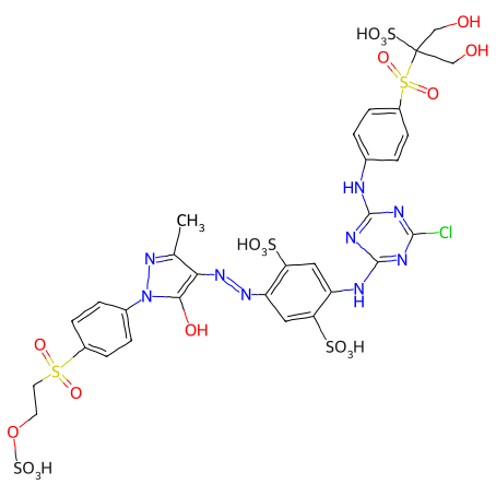 Cc1nn(-c2ccc(S(=O)(=O)CCOS(=O)(=O)O)cc2)c(O)c1N=Nc1cc(S(=O)(=O)O)c(Nc2nc(Cl)nc(Nc3ccc(S(=O)(=O)C(CO)(CO)S(=O)(=O)O)cc3)n2)cc1S(=O)(=O)O